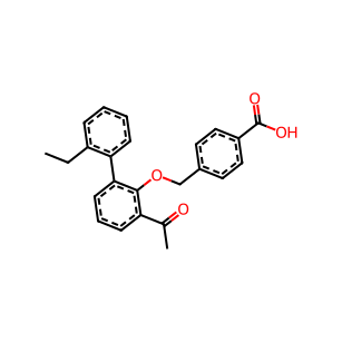 CCc1ccccc1-c1cccc(C(C)=O)c1OCc1ccc(C(=O)O)cc1